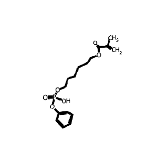 C=C(C)C(=O)OCCCCCCOP(=O)(O)Oc1ccccc1